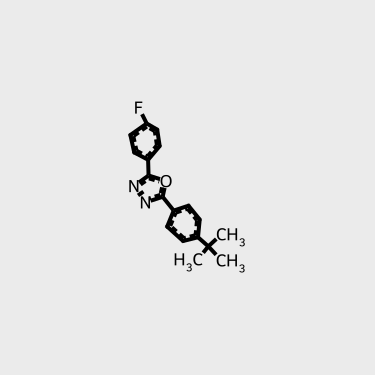 CC(C)(C)c1ccc(-c2nnc(-c3ccc(F)cc3)o2)cc1